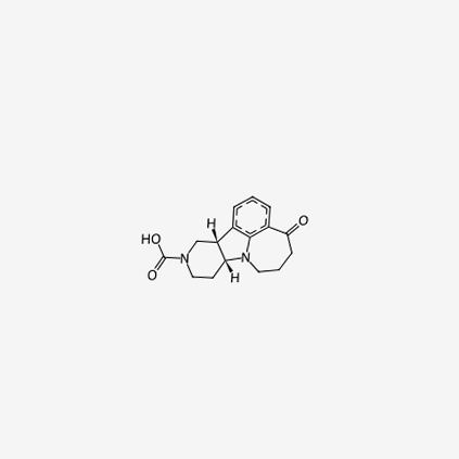 O=C1CCCN2c3c1cccc3[C@H]1CN(C(=O)O)CC[C@H]12